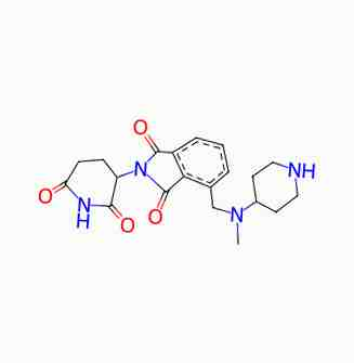 CN(Cc1cccc2c1C(=O)N(C1CCC(=O)NC1=O)C2=O)C1CCNCC1